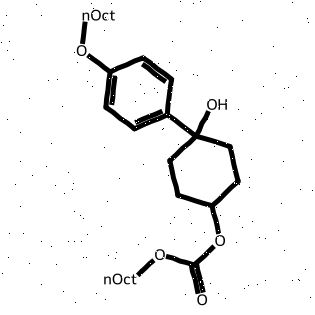 CCCCCCCCOC(=O)OC1CCC(O)(c2ccc(OCCCCCCCC)cc2)CC1